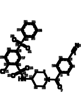 N#Cc1ccc(C(=O)N2CCC(NS(=O)(=O)c3cc(S(=O)(=O)c4ccccc4)ccc3Cl)CC2)cc1